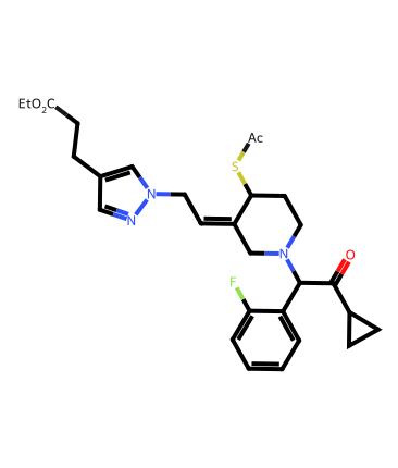 CCOC(=O)CCc1cnn(C/C=C2/CN(C(C(=O)C3CC3)c3ccccc3F)CCC2SC(C)=O)c1